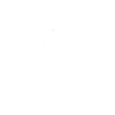 C=CC(=O)N1CCC2(CC=C(c3c(-c4ccc(OC)cc4)c4c(N)ncnc4n3C)CC2)CC1